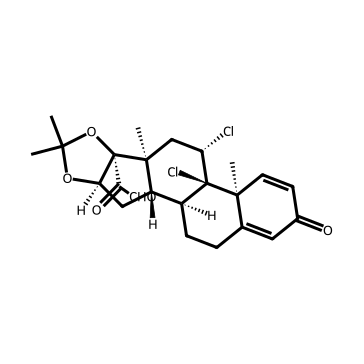 CC1(C)O[C@@H]2C[C@H]3[C@@H]4CCC5=CC(=O)C=C[C@]5(C)[C@@]4(Cl)[C@@H](Cl)C[C@]3(C)[C@]2(C(=O)C=O)O1